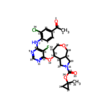 CC(=O)c1ccc(Nc2ncnc(O[C@H]3CCOCC4CN(C(=O)OC5(C)CC5)CC43)c2F)c(Cl)c1